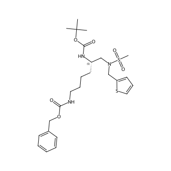 CC(C)(C)OC(=O)N[C@@H](CCCCNC(=O)OCc1ccccc1)CN(Cc1cccs1)S(C)(=O)=O